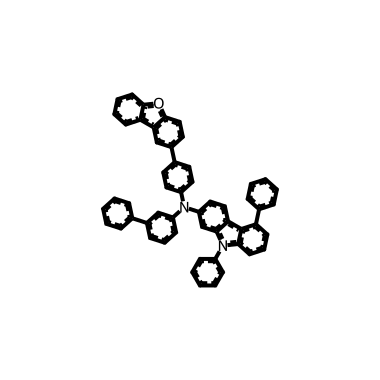 c1ccc(-c2cccc(N(c3ccc(-c4ccc5oc6ccccc6c5c4)cc3)c3ccc4c5c(-c6ccccc6)cccc5n(-c5ccccc5)c4c3)c2)cc1